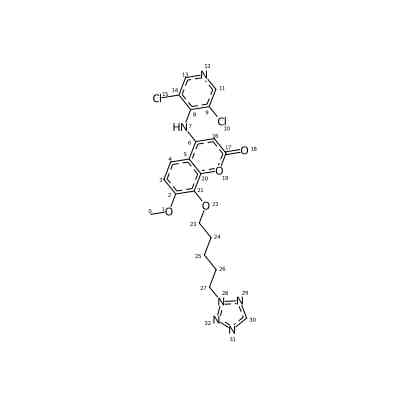 COc1ccc2c(Nc3c(Cl)cncc3Cl)cc(=O)oc2c1OCCCCCn1ncnn1